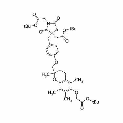 Cc1c(C)c2c(c(C)c1OCC(=O)OC(C)(C)C)CCC(C)(COc1ccc(CC3(CC(=O)OC(C)(C)C)SC(=O)N(CC(=O)OC(C)(C)C)C3=O)cc1)O2